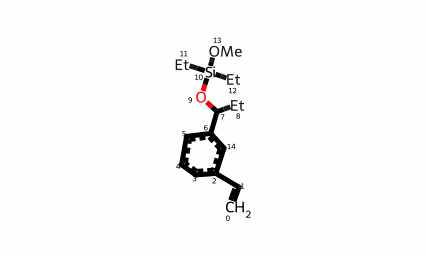 C=Cc1cccc(C(CC)O[Si](CC)(CC)OC)c1